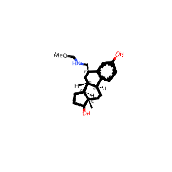 COCNC[C@@H]1C[C@@H]2[C@H](CC[C@]3(C)C(O)CC[C@@H]23)c2ccc(O)cc21